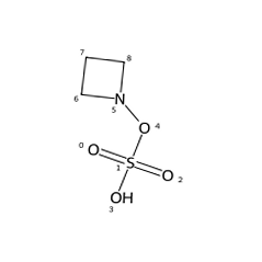 O=S(=O)(O)ON1CCC1